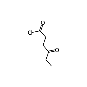 CCC(=O)CCC(=O)Cl